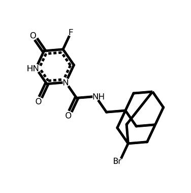 O=C(NCC12CC3CC(CC(Br)(C3)C1)C2)n1cc(F)c(=O)[nH]c1=O